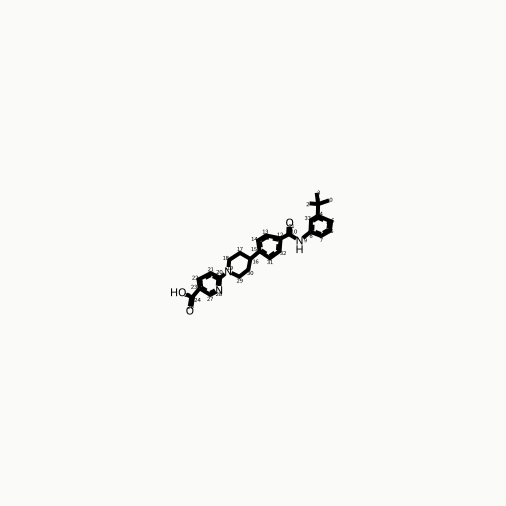 CC(C)(C)c1cccc(NC(=O)c2ccc(C3CCN(c4ccc(C(=O)O)cn4)CC3)cc2)c1